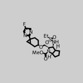 CCS(=O)(=O)N[C@H]1[C@H]2CCC[C@H]2N(C(=O)OC)[C@H]1COC1CCC2(c3ncc(F)cn3)CC2C1